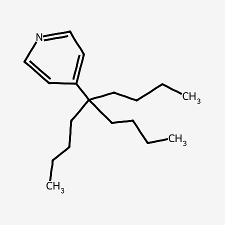 CCCCC(CCCC)(CCCC)c1ccncc1